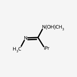 C/N=C(\C(C)C)N(C)O